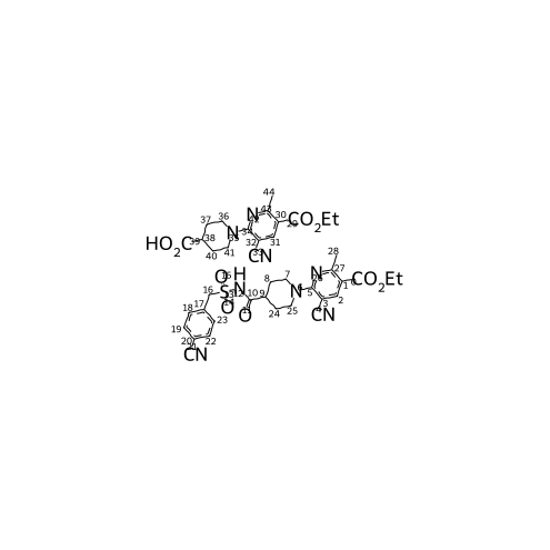 CCOC(=O)c1cc(C#N)c(N2CCC(C(=O)NS(=O)(=O)Cc3ccc(C#N)cc3)CC2)nc1C.CCOC(=O)c1cc(C#N)c(N2CCC(C(=O)O)CC2)nc1C